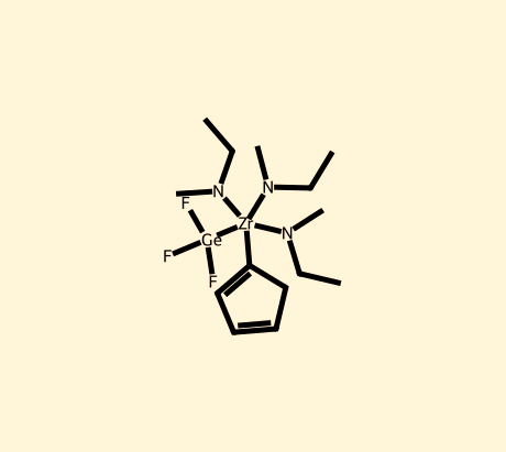 CC[N](C)[Zr]([C]1=CC=CC1)([N](C)CC)([N](C)CC)[Ge]([F])([F])[F]